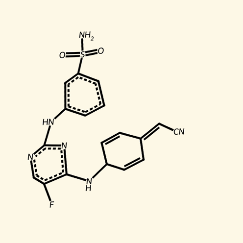 N#CC=C1C=CC(Nc2nc(Nc3cccc(S(N)(=O)=O)c3)ncc2F)C=C1